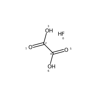 F.O=C(O)C(=O)O